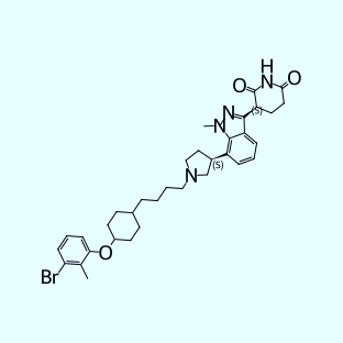 Cc1c(Br)cccc1OC1CCC(CCCCN2CC[C@@H](c3cccc4c([C@@H]5CCC(=O)NC5=O)nn(C)c34)C2)CC1